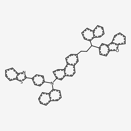 c1ccc2c(C(CCc3ccc4c(ccc5cc(N(c6ccc(-c7nc8ccccc8s7)cc6)c6cccc7ccccc67)ccc54)c3)c3ccc4oc5ccccc5c4c3)cccc2c1